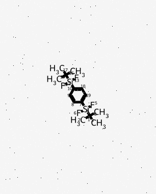 CC(C)(C)[Si](F)(F)c1ccc([Si](F)(F)C(C)(C)C)cc1